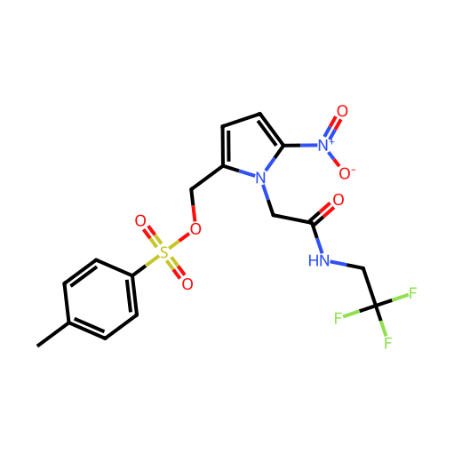 Cc1ccc(S(=O)(=O)OCc2ccc([N+](=O)[O-])n2CC(=O)NCC(F)(F)F)cc1